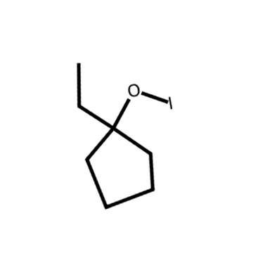 CCC1(OI)CCCC1